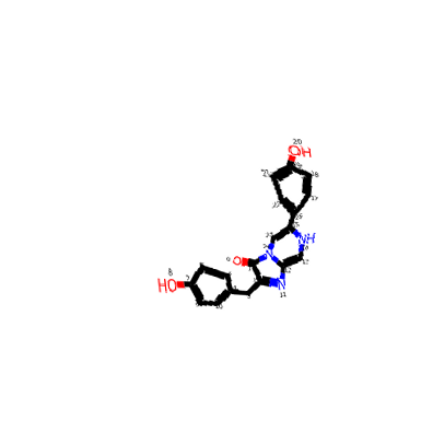 O=c1c(Cc2ccc(O)cc2)nc2c[nH]c(-c3ccc(O)cc3)cn1-2